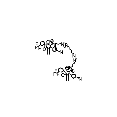 CC1=C(C(=O)NCCCN2CCN(CCCCCN3CCN(CCCNC(=O)C4=C(C)N(c5cccc(C(F)(F)F)c5)C(=O)N[C@@H]4c4ccc(C#N)cc4)CC3)CC2)[C@@H](c2ccc(C#N)cc2)NC(=O)N1c1cccc(C(F)(F)F)c1